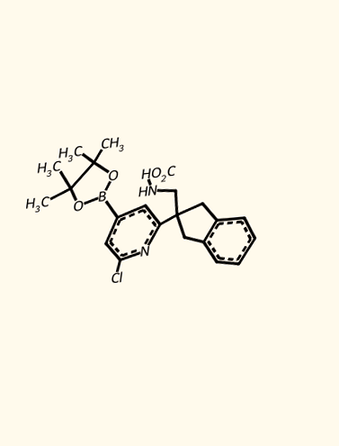 CC1(C)OB(c2cc(Cl)nc(C3(CNC(=O)O)Cc4ccccc4C3)c2)OC1(C)C